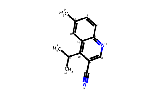 Cc1ccc2ncc(C#N)c(C(C)C)c2c1